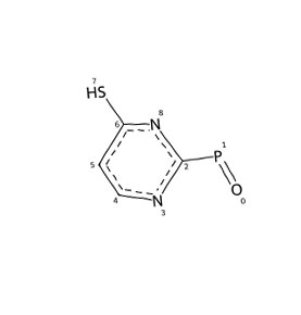 O=Pc1nccc(S)n1